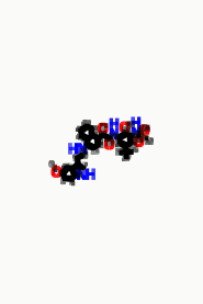 COc1ccc2[nH]cc(CCNc3ccc(C(=O)C(=O)Nc4cc(C(C)(C)C)cc(NS(C)(=O)=O)c4OC)c4ccccc34)c2c1